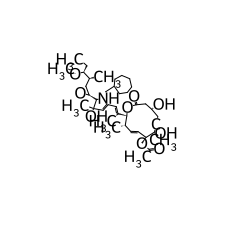 CC[C@H](OC)[C@@H](C)C1O[C@@H]1C(NCC1CCCCCC1)C(C)(O)/C=C/C=C(\C)[C@H]1OC(=O)C[C@H](O)CC[C@@](C)(O)[C@@H](OC(C)=O)/C=C/[C@@H]1C